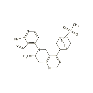 C[C@@H]1Cc2ncnc(C3CC4CCC3CN4S(C)(=O)=O)c2CN1c1ccnc2[nH]ccc12